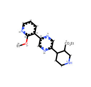 CCOC(=O)C1CNCCC1c1cnc(-c2cccnc2OCC)cn1